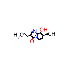 C#Cc1ccn2c(=O)c(CCC)cnc2c1O